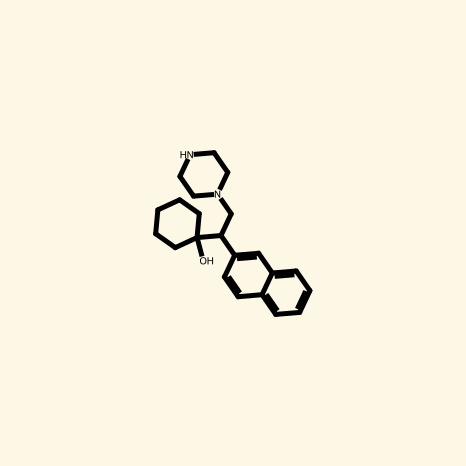 OC1(C(CN2CCNCC2)c2ccc3ccccc3c2)CCCCC1